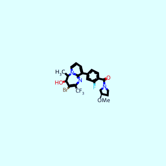 CO[C@@H]1CCN(C(=O)c2ccc(C3=CC=CN4C3=NC(C(F)(F)F)=C(Br)C(O)C4C)cc2F)C1